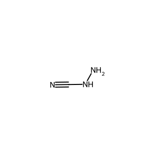 N#CNN